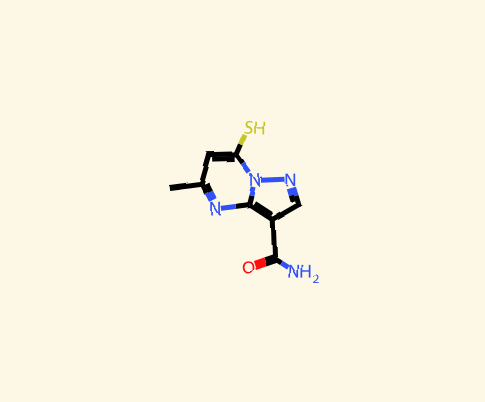 Cc1cc(S)n2ncc(C(N)=O)c2n1